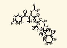 Cc1ccc(C(=O)NC(CC(C)C)C(=O)N[C@H]2CCCN(S(=O)(=O)C3=NC=CCC3=O)CC2=O)cn1